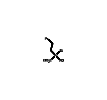 CCOC(=O)[N+](CC)(CCC(C)C)N=O